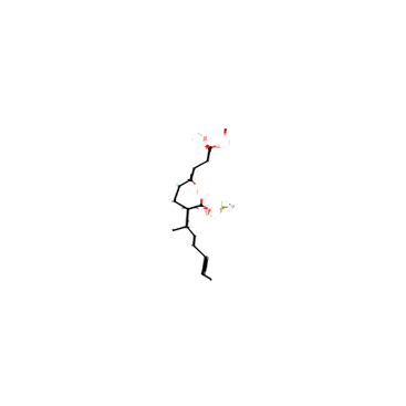 CC=CCCC(C)C1CCC(CCC(=O)OC)OC1OBr